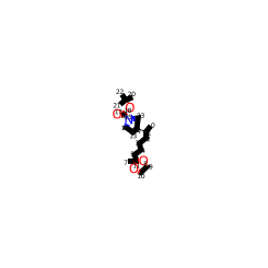 CC(CCCCC1(C)OCCO1)[C@@H]1CCN(C(=O)OC(C)(C)C)C1